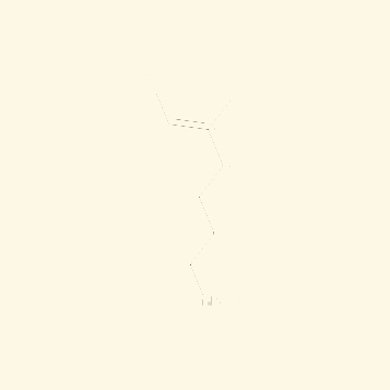 CCCCCCCCCC(C)=CI